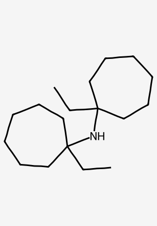 CCC1(NC2(CC)CCCCCC2)CCCCCC1